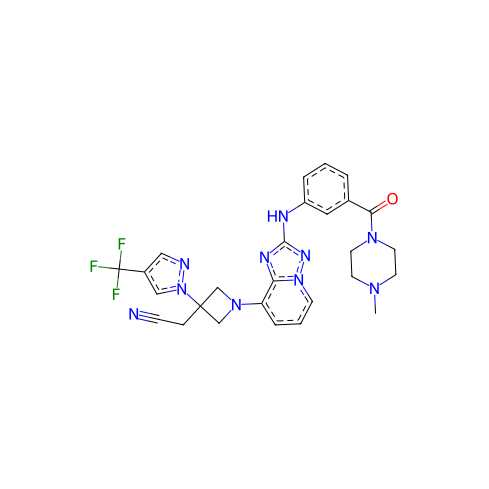 CN1CCN(C(=O)c2cccc(Nc3nc4c(N5CC(CC#N)(n6cc(C(F)(F)F)cn6)C5)cccn4n3)c2)CC1